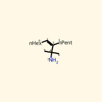 CCCCCCC=C(CCCCC)C(C)(C)N